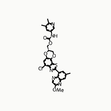 COc1cnc2c(-c3nc4c(Cl)cc5c(c4s3)OC[C@H](COC(=O)Nc3cnc(C)c(C)c3)O5)cc(C)cc2n1